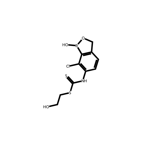 OCCSC(=S)Nc1ccc2c(c1Cl)B(O)OC2